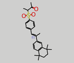 CC(=O)C(C)S(=O)(=O)c1ccc(/C=C(\C)c2ccc3c(c2)C(C)(C)CCC3(C)C)cc1